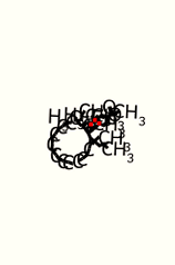 CCCC1(C)CCCCCCCCCCCCCCCCCC2C(c3cc(C(C)(C)C)cc1c3OCc1ccc(C(=O)OC)cc1)C2(CC)CCC